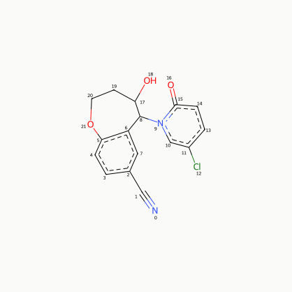 N#Cc1ccc2c(c1)C(n1cc(Cl)ccc1=O)C(O)CCO2